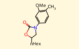 CCCCCCC1CN(c2ccc(C)c(OC)c2)C(=O)O1